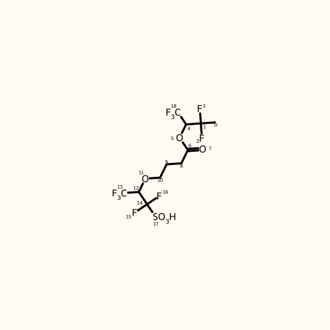 CC(F)(F)C(OC(=O)CCCOC(C(F)(F)F)C(F)(F)S(=O)(=O)O)C(F)(F)F